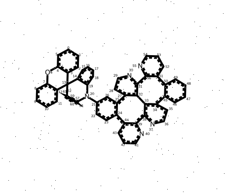 c1ccc2c(c1)Oc1ccccc1C21c2ccccc2N(c2ccc3c(c2)c2ccnc4c2-c2c(ccnc2c2ncccc32)c2ccccc2c2cccnc42)c2ccccc21